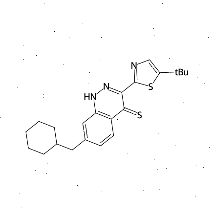 CC(C)(C)c1cnc(-c2n[nH]c3cc(CC4CCCCC4)ccc3c2=S)s1